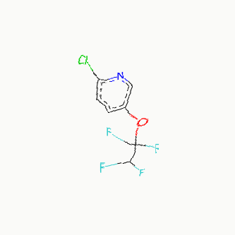 FC(F)C(F)(F)Oc1ccc(Cl)nc1